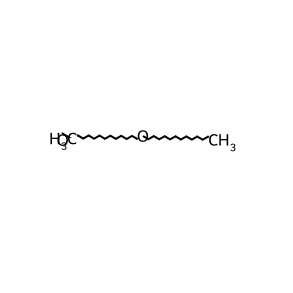 C1CO1.CCCCCCCCCCCCCOCCCCCCCCCCCCC